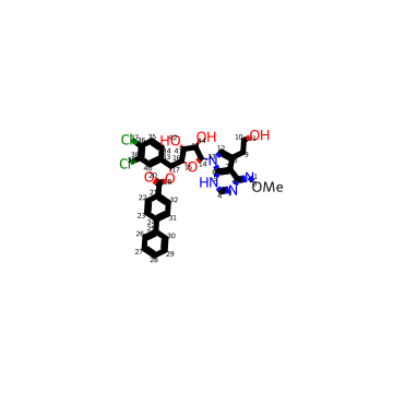 CO/N=c1\nc[nH]c2c1c(CCO)cn2[C@@H]1O[C@H]([C@H](OC(=O)c2ccc(-c3ccccc3)cc2)c2ccc(Cl)c(Cl)c2)[C@@H](O)[C@H]1O